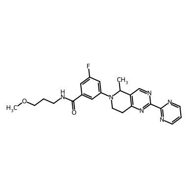 COCCCNC(=O)c1cc(F)cc(N2CCc3nc(-c4ncccn4)ncc3C2C)c1